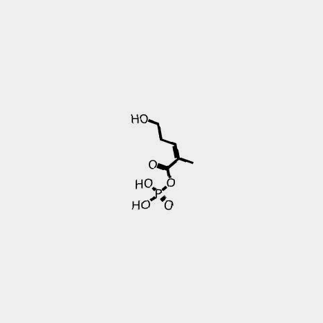 CC(=CCCO)C(=O)OP(=O)(O)O